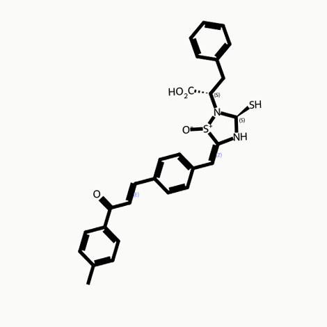 Cc1ccc(C(=O)/C=C/c2ccc(/C=C3/N[C@H](S)N([C@@H](Cc4ccccc4)C(=O)O)[S+]3[O-])cc2)cc1